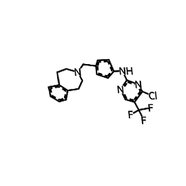 FC(F)(F)c1cnc(Nc2ccc(CN3CCc4ccccc4CC3)cc2)nc1Cl